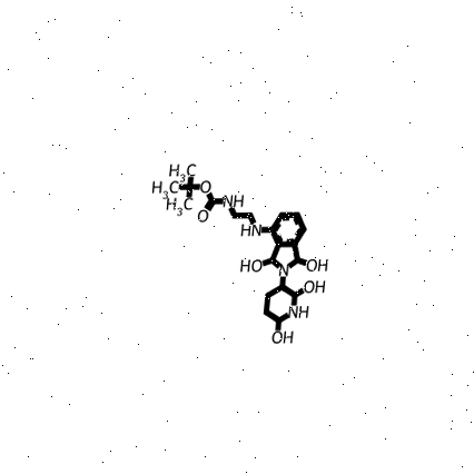 CC(C)(C)OC(=O)NCCNc1cccc2c1C(O)N(C1CCC(O)NC1O)C2O